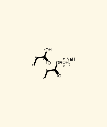 CCC(=O)O.CCC(=O)O.O.[NaH]